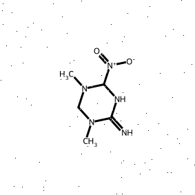 CN1CN(C)C([N+](=O)[O-])NC1=N